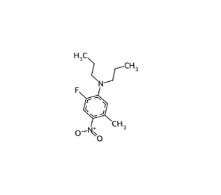 CCCN(CCC)c1cc(C)c([N+](=O)[O-])cc1F